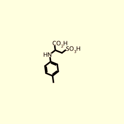 Cc1ccc(NC(CS(=O)(=O)O)C(=O)O)cc1